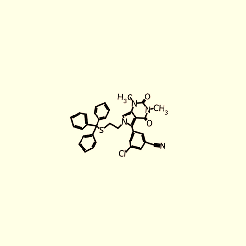 Cn1c(=O)c2c(-c3cc(Cl)cc(C#N)c3)n(CCSC(c3ccccc3)(c3ccccc3)c3ccccc3)cc2n(C)c1=O